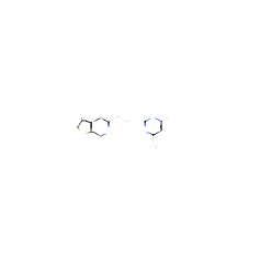 CCc1csc2c(Cl)nc(CCSc3nc(N)cc(C(F)(F)F)n3)cc12